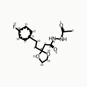 CC(=O)NNC(=O)CC1(CCc2ccc(F)cc2)OCCO1